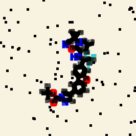 CC(C)C[C@H](N[C@@H](c1ccc2c(c1)oc1ccc(-c3cnn(C(=O)OC(C)(C)C)c3)cc12)C(F)(F)F)C(=O)NC1(C#N)CC1